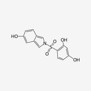 O=S(=O)(c1ccc(O)cc1O)n1cc2ccc(O)cc2c1